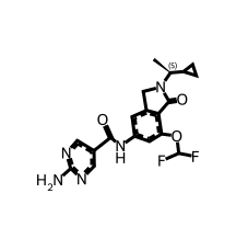 C[C@@H](C1CC1)N1Cc2cc(NC(=O)c3cnc(N)nc3)cc(OC(F)F)c2C1=O